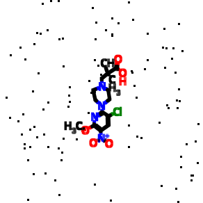 COc1nc(N2CCN(CC(C)(C)C(=O)O)CC2)c(Cl)cc1[N+](=O)[O-]